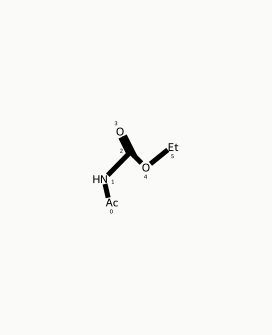 [CH2]C(=O)NC(=O)OCC